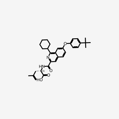 C=C(C)C[C@H](NC(=O)c1cc2ccc(Oc3ccc(C(C)(C)C)cc3)cc2c(C2CCCCC2)n1)C(=O)O